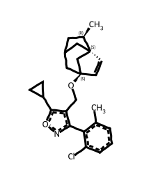 Cc1cccc(Cl)c1-c1noc(C2CC2)c1CO[C@@]12C=C[C@@]3(CC(C[C@H]3C)C1)C2